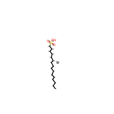 CCCCCCCCCCCCCCCCS(=O)(=O)O.[Ni]